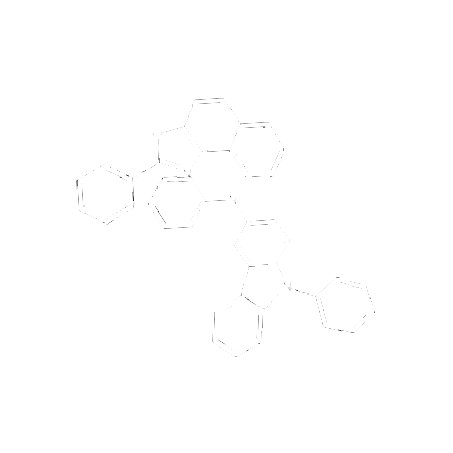 c1ccc(-c2nc3c(ccc4cccc(N(c5ccccc5)c5ccc6c(c5)c5ccccc5n6-c5ccccc5)c43)o2)cc1